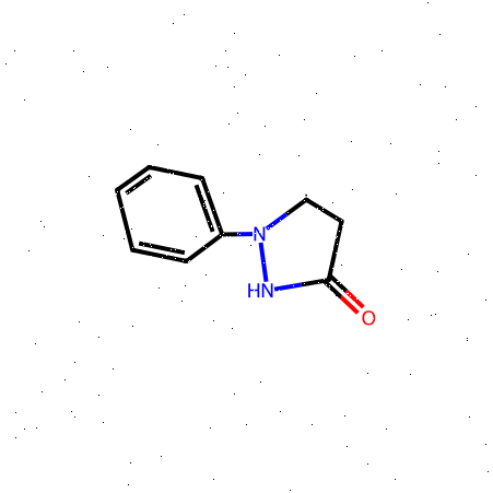 O=C1C[CH]N(c2ccccc2)N1